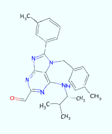 Cc1ccc(Cn2c(-c3cccc(C)c3)nc3nc(C=O)nc(N[C@H](C)C(C)C)c32)cc1